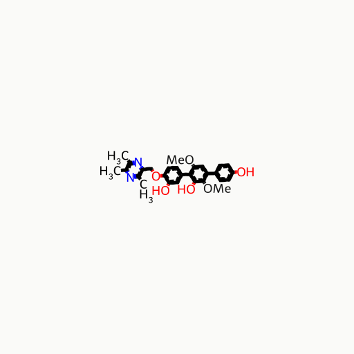 COc1cc(-c2ccc(O)cc2)c(OC)c(O)c1-c1ccc(OCc2nc(C)c(C)nc2C)c(O)c1